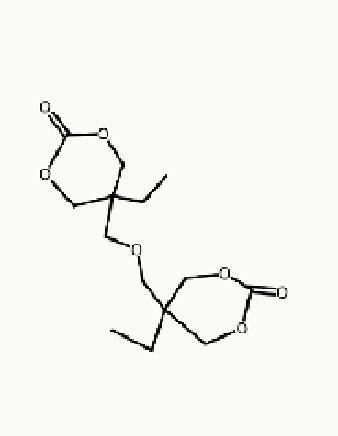 CCC1(COCC2(CC)COC(=O)OC2)COC(=O)OC1